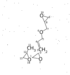 C1CO1.C=CCOCC1CO1.CC1CO1